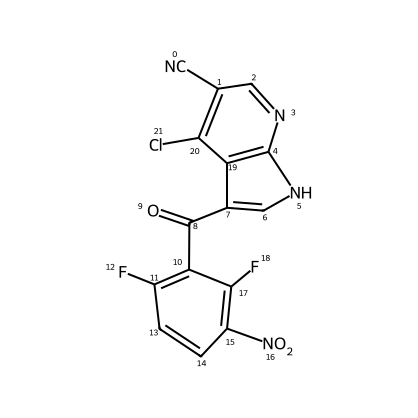 N#Cc1cnc2[nH]cc(C(=O)c3c(F)ccc([N+](=O)[O-])c3F)c2c1Cl